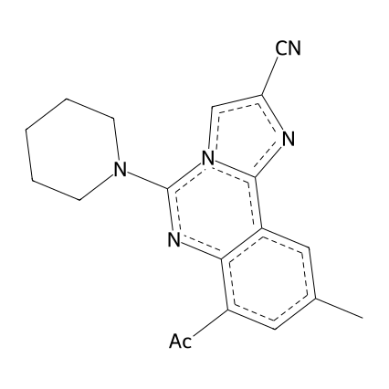 CC(=O)c1cc(C)cc2c1nc(N1CCCCC1)n1cc(C#N)nc21